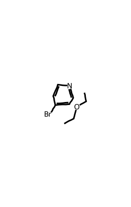 Brc1ccncc1.CCOCC